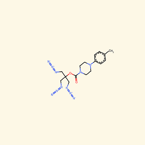 Cc1ccc(N2CCN(C(=O)OC(CN=[N+]=[N-])(CN=[N+]=[N-])CN=[N+]=[N-])CC2)cc1